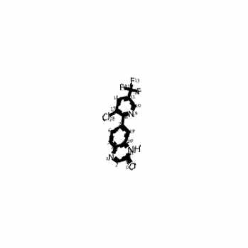 O=c1cnc2ccc(-c3ncc(C(F)(F)F)cc3Cl)cc2[nH]1